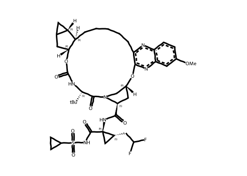 COc1ccc2nc3c(nc2c1)O[C@@H]1C[C@@H](C(=O)N[C@]2(C(=O)NS(=O)(=O)C4CC4)C[C@H]2CC(F)F)N(C1)C(=O)[C@H](C(C)(C)C)NC(=O)O[C@@H]1CC2C[C@@H]2[C@H]1CCCCC3